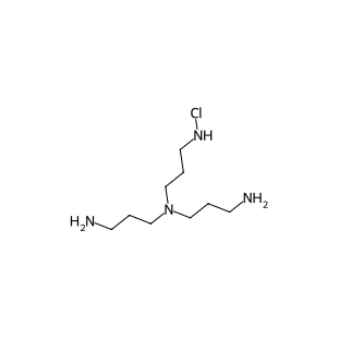 NCCCN(CCCN)CCCNCl